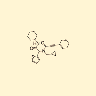 O=C(NC1CCCCC1)C(c1cccs1)N(CC1CC1)C(=O)C#CC1=CCCC=C1